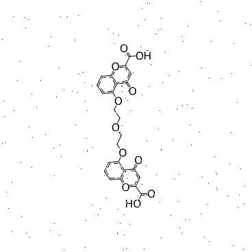 O=C(O)c1cc(=O)c2c(OCCOCCOc3cccc4oc(C(=O)O)cc(=O)c34)cccc2o1